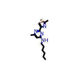 CCCCCCNc1cc(C)nc(-c2csc(C)n2)n1